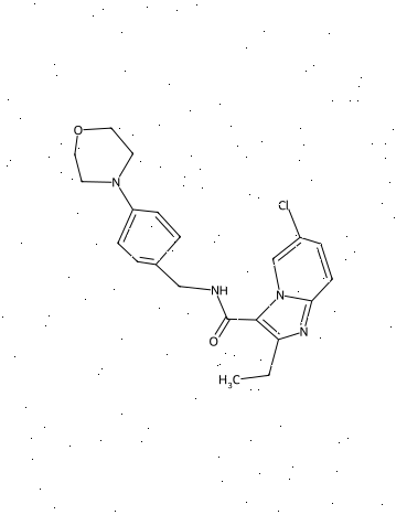 CCc1nc2ccc(Cl)cn2c1C(=O)NCc1ccc(N2CCOCC2)cc1